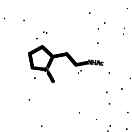 [CH2]C(=O)NCCC1CCCN1C